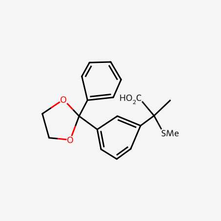 CSC(C)(C(=O)O)c1cccc(C2(c3ccccc3)OCCO2)c1